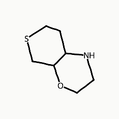 C1COC2CSCCC2N1